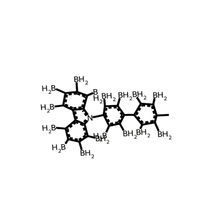 Bc1c(B)c(-c2c(B)c(B)c(-n3c4c(B)c(B)c(B)c(B)c4c4c(B)c(B)c(B)c(B)c43)c(B)c2B)c(B)c(B)c1C